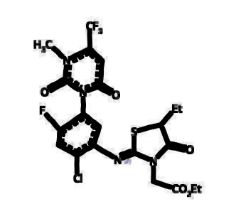 CCOC(=O)CN1C(=O)C(CC)S/C1=N\c1cc(-n2c(=O)cc(C(F)(F)F)n(C)c2=O)c(F)cc1Cl